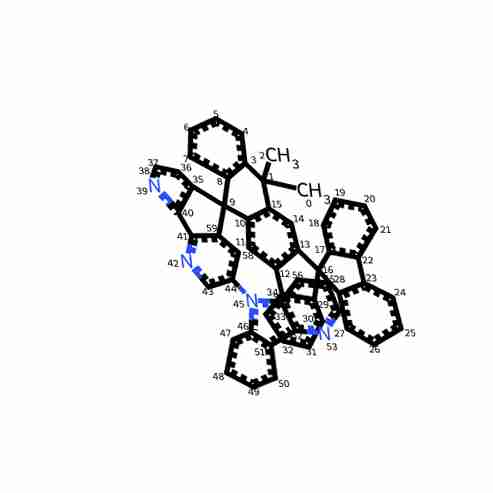 CC1(C)c2ccccc2C2(c3cc4c(cc31)C1(c3ccccc3-c3ccccc31)c1ccccc1-4)c1cccnc1-c1ncc(-n3c4ccccc4c4ncccc43)cc12